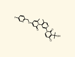 Cc1cnc(-n2ccc(Cl)c(C(C)(C)O)c2=O)cc1-n1c(C)cc(OCc2ccc(F)cn2)cc1=O